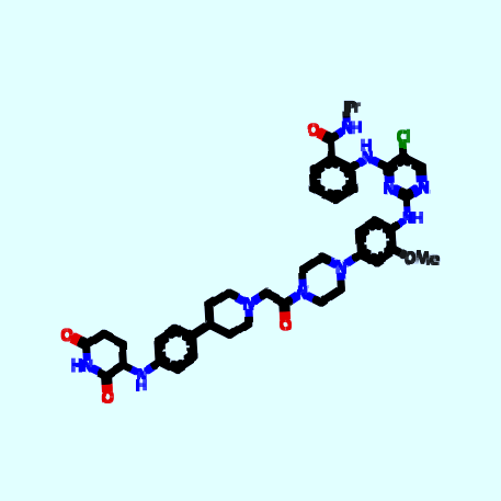 COc1cc(N2CCN(C(=O)CN3CCC(c4ccc(NC5CCC(=O)NC5=O)cc4)CC3)CC2)ccc1Nc1ncc(Cl)c(Nc2ccccc2C(=O)NC(C)C)n1